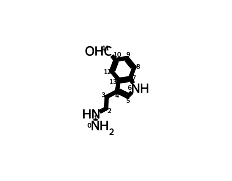 NNCCc1c[nH]c2ccc(C=O)cc12